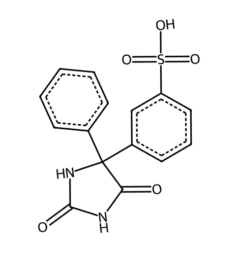 O=C1NC(=O)C(c2ccccc2)(c2cccc(S(=O)(=O)O)c2)N1